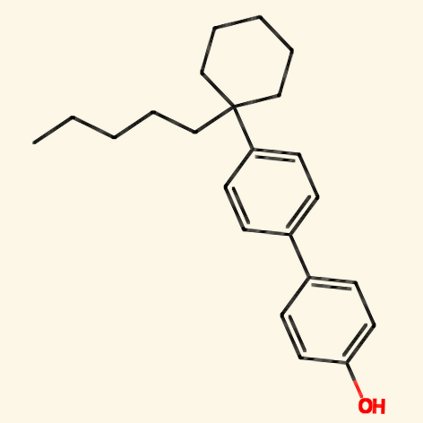 CCCCCC1(c2ccc(-c3ccc(O)cc3)cc2)CCCCC1